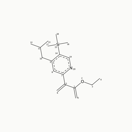 C=C(OCC)C(=C)c1cc(CC(C)C)c([Si](C)(C)C)cn1